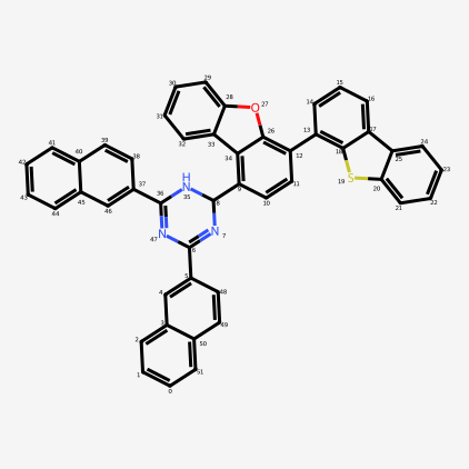 c1ccc2cc(C3=NC(c4ccc(-c5cccc6c5sc5ccccc56)c5oc6ccccc6c45)NC(c4ccc5ccccc5c4)=N3)ccc2c1